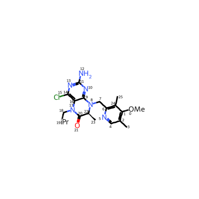 COc1c(C)cnc(CN2c3nc(N)nc(Cl)c3N(CC(C)C)C(=O)[C@@H]2C)c1C